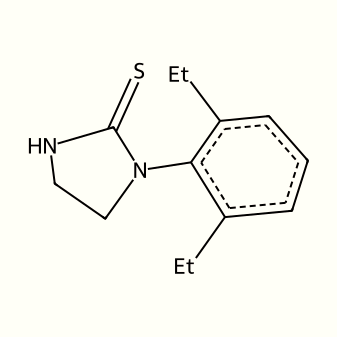 CCc1cccc(CC)c1N1CCNC1=S